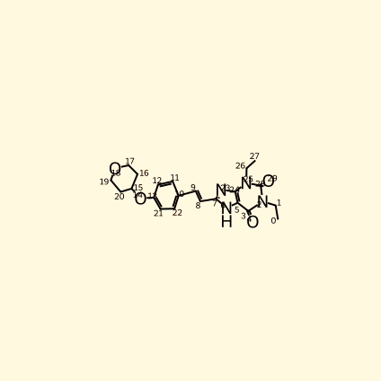 CCn1c(=O)c2[nH]c(C=Cc3ccc(OC4CCOCC4)cc3)nc2n(CC)c1=O